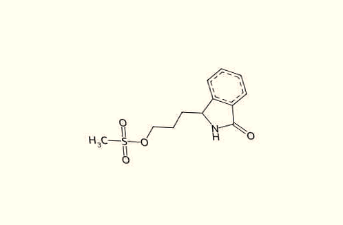 CS(=O)(=O)OCCCC1NC(=O)c2ccccc21